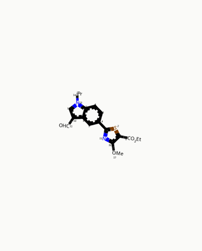 CCOC(=O)c1sc(-c2ccc3c(c2)c(C=O)cn3C(C)C)nc1OC